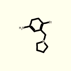 CCC1=C(CN2CCCC2)C=C(N)CC1